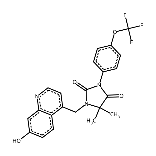 CC1(C)C(=O)N(c2ccc(OC(F)(F)F)cc2)C(=O)N1Cc1ccnc2cc(O)ccc12